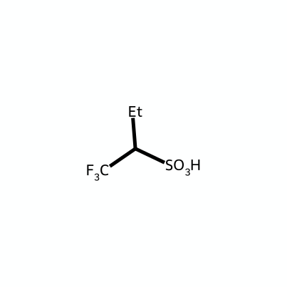 CCC(C(F)(F)F)S(=O)(=O)O